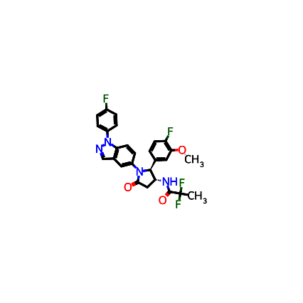 COc1cc([C@H]2[C@H](NC(=O)C(C)(F)F)CC(=O)N2c2ccc3c(cnn3-c3ccc(F)cc3)c2)ccc1F